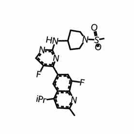 Cc1cc(C(C)C)c2cc(-c3nc(NC4CCN(S(C)(=O)=O)CC4)ncc3F)cc(F)c2n1